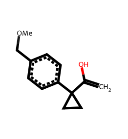 C=C(O)C1(c2ccc(COC)cc2)CC1